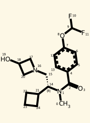 CN(C(=O)c1ccc(OC(F)F)cc1)[C@@H](CN1CC(O)C1)C1CCC1